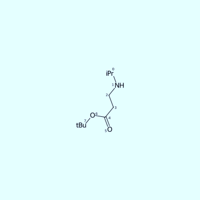 CC(C)NCCC(=O)OC(C)(C)C